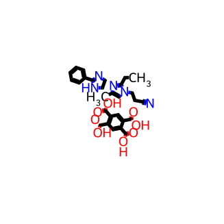 CCc1nc(C)cn1CCC#N.O=C(O)c1cc(C(=O)O)c(C(=O)O)cc1C(=O)O.c1ccc(C2=NCCN2)cc1